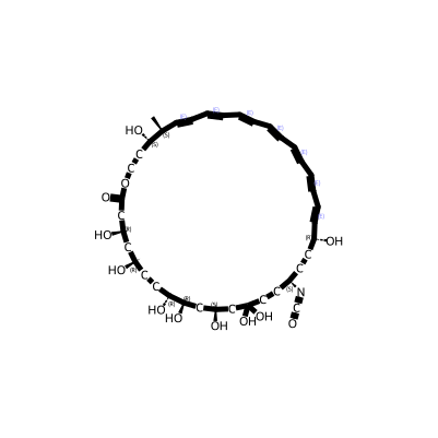 C[C@H]1/C=C/C=C/C=C/C=C/C=C/C=C/C=C/[C@H](O)CC[C@H](N=C=O)CCC(O)(O)C[C@@H](O)C[C@@H](O)[C@H](O)CC[C@@H](O)C[C@@H](O)CC(=O)OCC[C@@H]1O